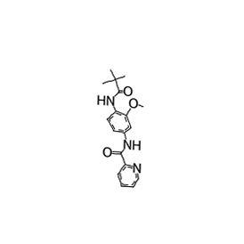 COc1cc(NC(=O)c2ccccn2)ccc1NC(=O)C(C)(C)C